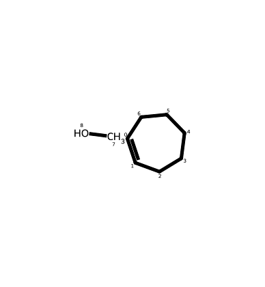 C1=CCCCCC1.CO